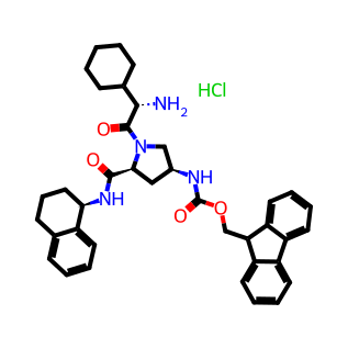 Cl.N[C@H](C(=O)N1C[C@@H](NC(=O)OCC2c3ccccc3-c3ccccc32)C[C@H]1C(=O)N[C@@H]1CCCc2ccccc21)C1CCCCC1